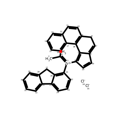 C[C](C)=[Zr+2]([C]1=C2C(=CCc3ccc4ccccc4c32)C=C1)[c]1cccc2c1Cc1ccccc1-2.[Cl-].[Cl-]